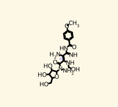 COc1ccc(C(=O)NC(=N)/C(N)=C(\NCO)C(=O)N(N)C2OC(CO)C(O)C2O)cc1